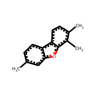 Cc1ccc2c(c1)oc1c(C)c(C)ccc12